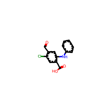 O=Cc1cc(Nc2ccccc2)c(C(=O)O)cc1Cl